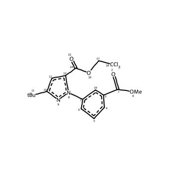 COC(=O)c1cccc(-n2nc(C(C)(C)C)cc2C(=O)OCC(Cl)(Cl)Cl)c1